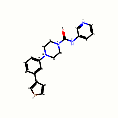 O=C(Nc1cccnc1)N1CCN(c2cccc(-c3ccsc3)c2)CC1